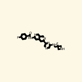 O=C(Nc1cc2cc(-c3cncc(NCC4(F)CNC4)n3)ncc2cn1)c1ccc(F)cc1